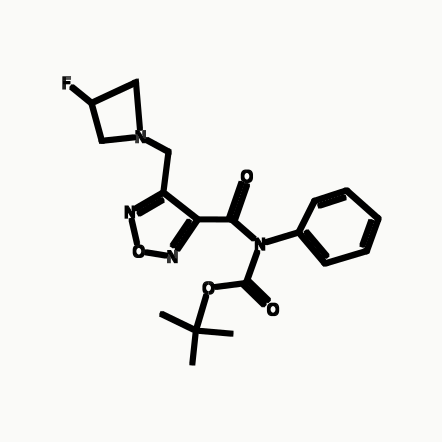 CC(C)(C)OC(=O)N(C(=O)c1nonc1CN1CC(F)C1)c1ccccc1